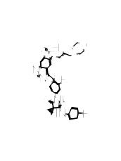 COc1cc2ncnc(Oc3ccc(NC(=O)C4(C(=O)NC5=CCC(F)C=C5)CC4)cc3F)c2cc1OCCCN1CCOCC1